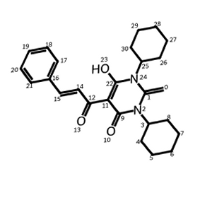 C=C1N(C2CCCCC2)C(=O)C(C(=O)/C=C/c2ccccc2)=C(O)N1C1CCCCC1